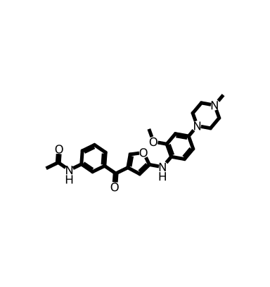 COc1cc(N2CCN(C)CC2)ccc1Nc1cc(C(=O)c2cccc(NC(C)=O)c2)co1